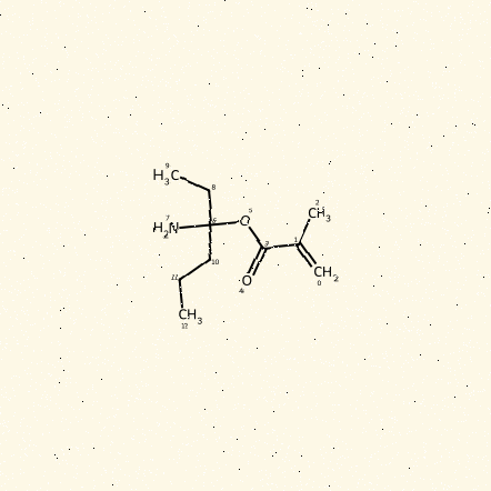 C=C(C)C(=O)OC(N)(CC)CCC